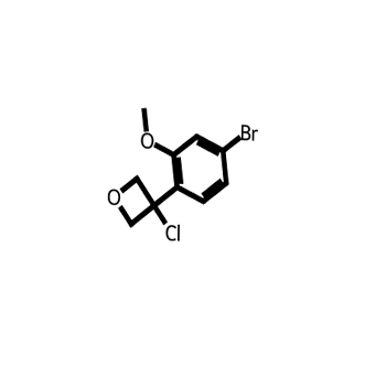 COc1cc(Br)ccc1C1(Cl)COC1